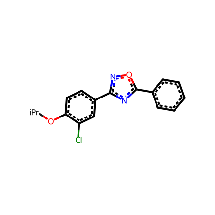 CC(C)Oc1ccc(-c2noc(-c3ccccc3)n2)cc1Cl